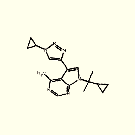 CC(C)(C1CC1)n1cc(-c2cn(C3CC3)nn2)c2c(N)ncnc21